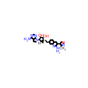 Cc1nocc1-c1cc2ccc(CC[C@]34C[C@@H]3[C@@H](n3ccc5c(N)ncnc53)[C@H](O)[C@@H]4O)cc2nc1N